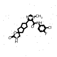 Cn1cnc(C2CC3CC4(CNC(=O)O4)CC3C2)c1C(=O)Nc1ccc(F)c(Cl)c1